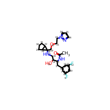 CC(=O)NC(Cc1cc(F)cc(F)c1)C(O)CNC1(COCCn2cccn2)C2CCCC21